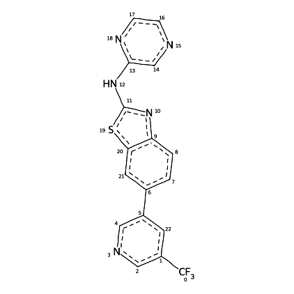 FC(F)(F)c1cncc(-c2ccc3nc(Nc4cnccn4)sc3c2)c1